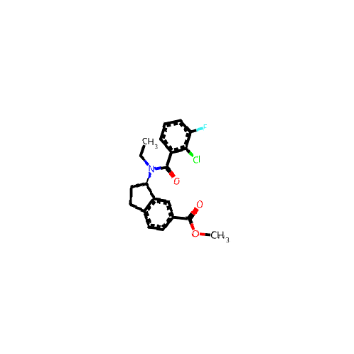 CCN(C(=O)c1cccc(F)c1Cl)[C@@H]1CCc2ccc(C(=O)OC)cc21